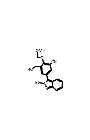 CCn1nc2ccccc2c1-c1cc(C#N)c(OCOC)c(CO)c1